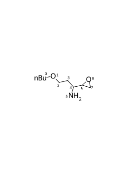 CCCCOCCC(N)C1CO1